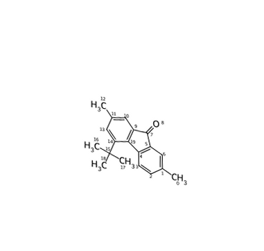 Cc1ccc2c(c1)C(=O)c1cc(C)cc(C(C)(C)C)c1-2